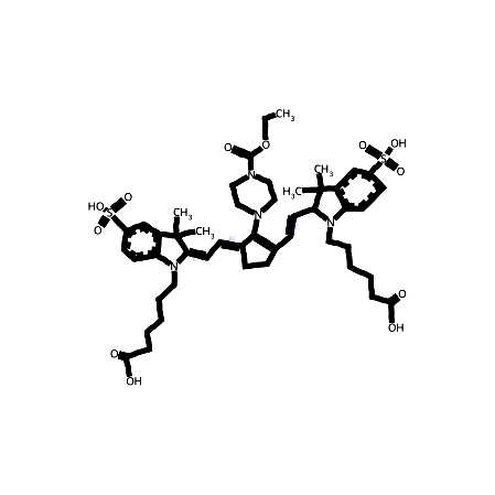 CCOC(=O)N1CCN(C2=C(/C=C/C3N(CCCCCC(=O)O)c4ccc(S(=O)(=O)O)cc4C3(C)C)CC/C2=C\C=C2\N(CCCCCC(=O)O)c3ccc(S(=O)(=O)O)cc3C2(C)C)CC1